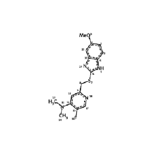 COc1ccc2[nH]c(SCc3cc(N(C)C)c(F)cn3)nc2c1